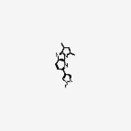 CC1CC(C)n2c1nc1ccc(-c3cnn(C)c3)nc12